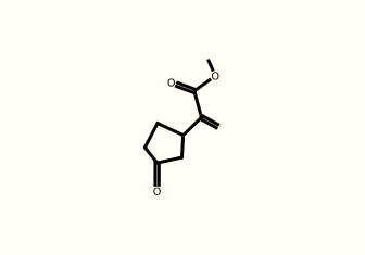 C=C(C(=O)OC)C1CCC(=O)C1